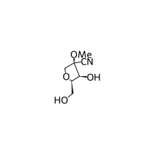 CO[C@]1(C#N)CO[C@H](CO)[C@@H]1O